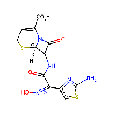 Nc1nc(/C(=N/O)C(=O)NC2C(=O)N3C(C(=O)O)=CCS[C@H]23)cs1